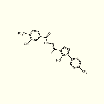 C/C(=N\NC(=O)c1ccc(C(=O)O)c(N=O)c1)c1csc(-c2ccc(C(F)(F)F)cc2)c1O